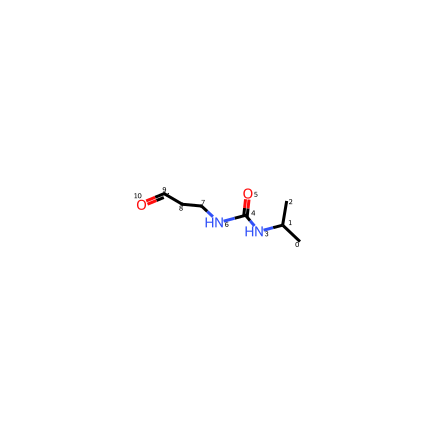 CC(C)NC(=O)NCC[C]=O